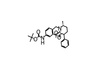 C[C@H]1CCC(c2ccccc2)S(=O)(=O)N1Cc1ccc(NC(=O)OC(C)(C)C)cc1F